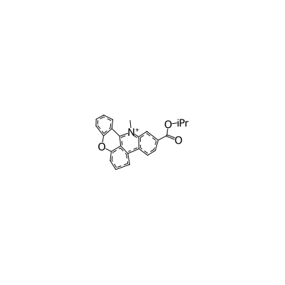 CC(C)OC(=O)c1ccc2c3cccc4c3c([n+](C)c2c1)-c1ccccc1O4